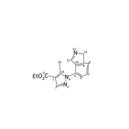 CCOC(=O)c1cnn(-c2cccc3c2C=NC3)c1C